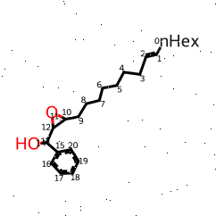 CCCCCCC=CCCCCCCCC1OC1C(O)c1ccccc1